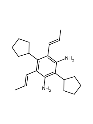 CC=Cc1c(N)c(C2CCCC2)c(N)c(C=CC)c1C1CCCC1